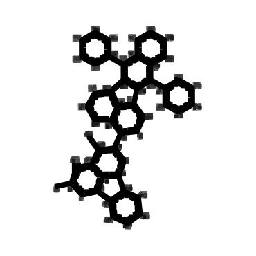 Cc1cc2c3c(cc(-c4ccc5c6c(cccc46)-c4c-5c(-c5ccccc5)c5ccccc5c4-c4ccccc4)c(C)c3n1)-c1ccccc1-2